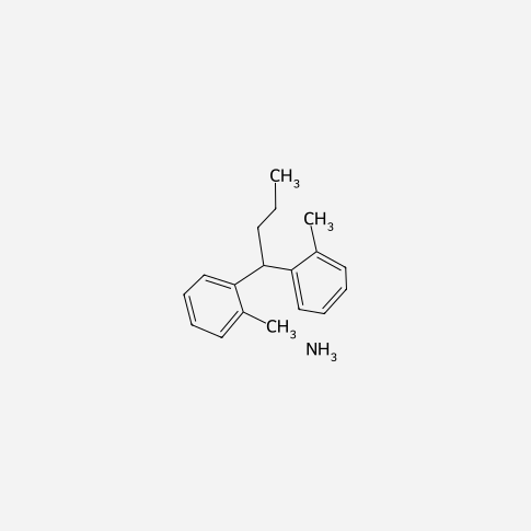 CCCC(c1ccccc1C)c1ccccc1C.N